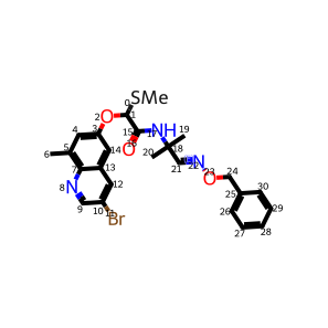 CSC(Oc1cc(C)c2ncc(Br)cc2c1)C(=O)NC(C)(C)/C=N/OCc1ccccc1